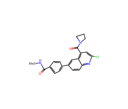 CSNC(=O)c1ccc(-c2ccc3nc(Cl)cc(C(=O)N4CCC4)c3c2)cc1